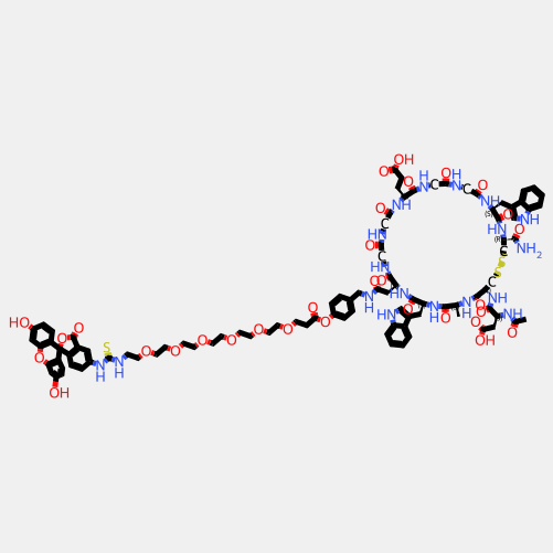 CC(=O)N[C@@H](CC(=O)O)C(=O)N[C@H]1CSSC[C@@H](C(N)=O)NC(=O)[C@H](Cc2c[nH]c3ccccc23)NC(=O)CNC(=O)CNC(=O)[C@H](CCC(=O)O)NC(=O)CNC(=O)CNC(=O)[C@H](CC(=O)NCc2ccc(OC(=O)CCOCCOCCOCCOCCOCCOCCNC(=S)Nc3ccc4c(c3)C(=O)OC43c4ccc(O)cc4Oc4cc(O)ccc43)cc2)NC(=O)[C@H](Cc2c[nH]c3ccccc23)NC(=O)[C@H](C)NC1=O